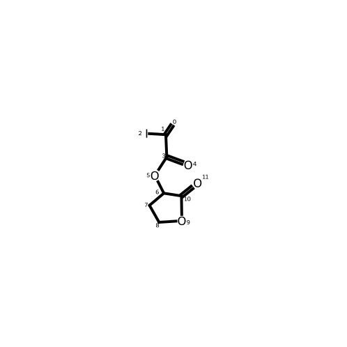 C=C(I)C(=O)OC1CCOC1=O